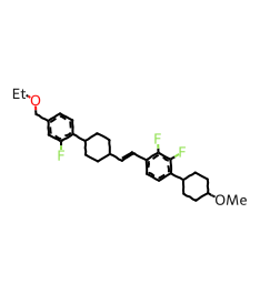 CCOCc1ccc(C2CCC(/C=C/c3ccc(C4CCC(OC)CC4)c(F)c3F)CC2)c(F)c1